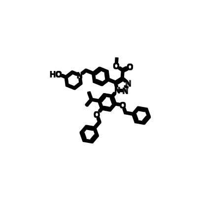 COC(=O)c1nnn(-c2cc(C(C)C)c(OCc3ccccc3)cc2OCc2ccccc2)c1-c1ccc(CN2CCCC(O)C2)cc1